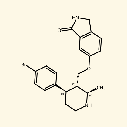 C[C@H]1NCC[C@@H](c2ccc(Br)cc2)[C@@H]1COc1ccc2c(c1)C(=O)NC2